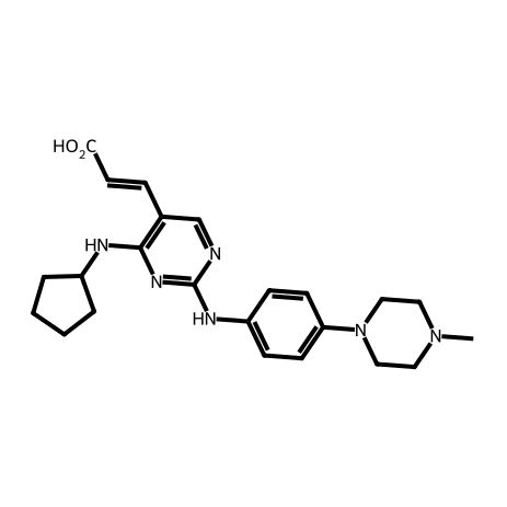 CN1CCN(c2ccc(Nc3ncc(/C=C/C(=O)O)c(NC4CCCC4)n3)cc2)CC1